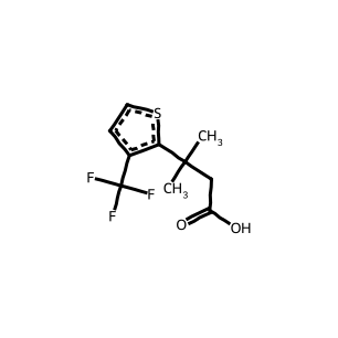 CC(C)(CC(=O)O)c1sccc1C(F)(F)F